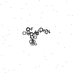 CN1CCN([C@H]2CCCN(c3ccn(-c4cc(-c5c(F)cccc5C#N)nc5c4C(=O)N(C(=O)OC(C)(C)C)C5)n3)C2)CC1